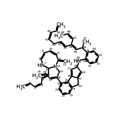 C=C/C=C\C=CC1N/C=C\C=C/C(=C)N1C/C(=C\C=C)c1cccc2c1C1=CC(Nc3ccccc3C(C)/C=C(C=CC/C=C\C=C)\C=C/C)C=C1C2